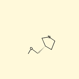 COC[C@H]1CC[N]C1